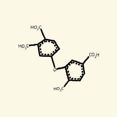 O=C(O)c1ccc(C(=O)O)c(Oc2ccc(C(=O)O)c(C(=O)O)c2)c1